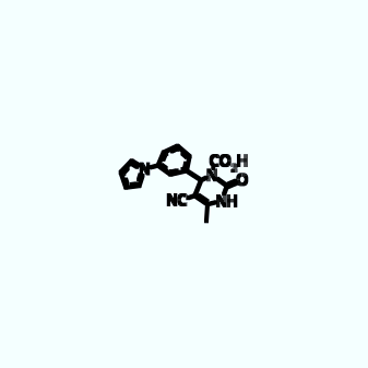 CC1=C(C#N)C(c2cccc(-n3cccc3)c2)N(C(=O)O)C(=O)N1